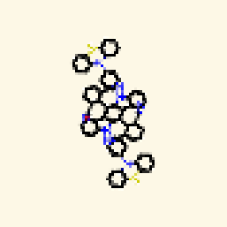 N#Cc1cccc(C#N)c1-c1c2c3ccccc3n(-c3ccc(N4c5ccccc5Sc5ccccc54)cc3)c2c(-c2c(C#N)cccc2C#N)c2c3ccccc3n(-c3ccc(N4c5ccccc5Sc5ccccc54)cc3)c12